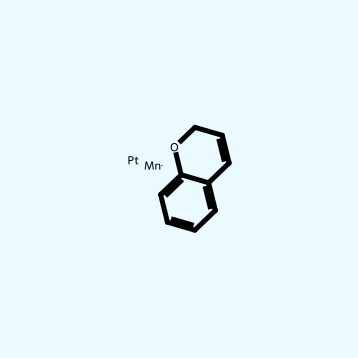 C1=Cc2ccccc2OC1.[Mn].[Pt]